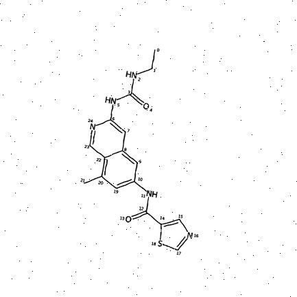 CCNC(=O)Nc1cc2cc(NC(=O)c3cncs3)cc(C)c2cn1